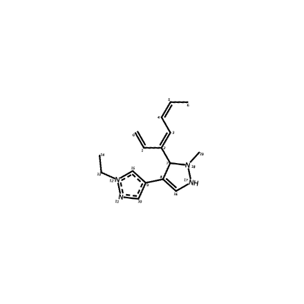 C=C/C(=C\C=C/C)C1C(c2cnn(CC)c2)=CNN1C